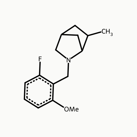 COc1cccc(F)c1CN1CC2CC(C)C1C2